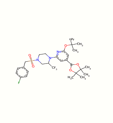 CCCC(C)(C)Oc1cc(B2OC(C)(C)C(C)(C)O2)cc(N2CCN(S(=O)(=O)Cc3ccc(F)cc3)CC2C(F)(F)F)n1